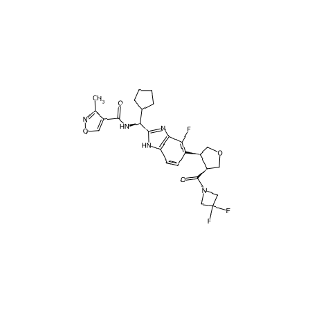 Cc1nocc1C(=O)N[C@H](c1nc2c(F)c([C@H]3COC[C@H]3C(=O)N3CC(F)(F)C3)ccc2[nH]1)C1CCCC1